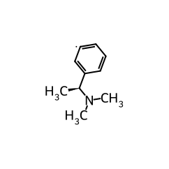 C[C@@H](c1c[c]ccc1)N(C)C